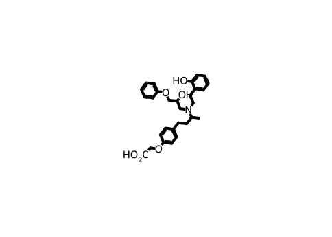 CC(CCc1ccc(OCC(=O)O)cc1)N(CCc1ccccc1O)CC(O)COc1ccccc1